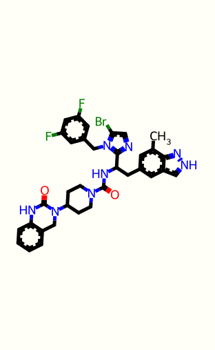 Cc1cc(CC(NC(=O)N2CCC(N3Cc4ccccc4NC3=O)CC2)c2ncc(Br)n2Cc2cc(F)cc(F)c2)cc2c[nH]nc12